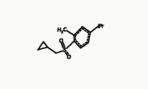 Cc1cc(C(C)C)ccc1S(=O)(=O)CC1CC1